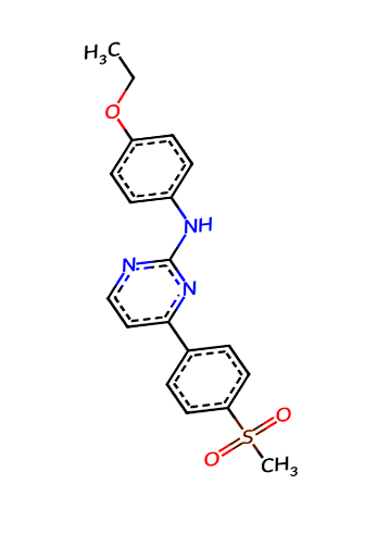 CCOc1ccc(Nc2nccc(-c3ccc(S(C)(=O)=O)cc3)n2)cc1